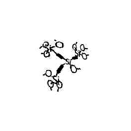 CO[Si](C#C[Si](OC)(OC)OC)(C#C[Si](OC)(OC)OC)C#C[Si](OC)(OC)OC